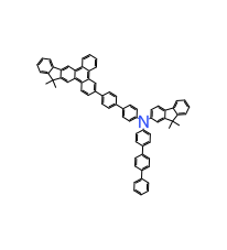 CC1(C)c2ccccc2-c2ccc(N(c3ccc(-c4ccc(-c5ccccc5)cc4)cc3)c3ccc(-c4ccc(-c5ccc6c(c5)c5ccccc5c5cc7c(cc65)C(C)(C)c5ccccc5-7)cc4)cc3)cc21